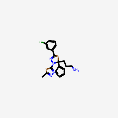 Cc1nnc(N2N=C(c3cccc(Cl)c3)SC2(CCCN)c2ccccc2)s1